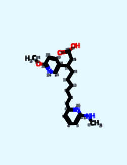 CNc1cccc(CCCCCCC(CC(=O)O)c2ccc(OC)nc2)n1